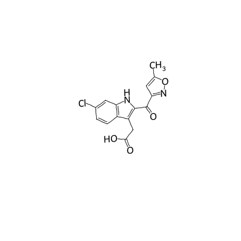 Cc1cc(C(=O)c2[nH]c3cc(Cl)ccc3c2CC(=O)O)no1